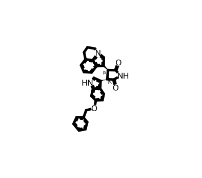 O=C1NC(=O)[C@H](c2cn3c4c(cccc24)CCC3)[C@H]1c1c[nH]c2cc(OCc3ccccc3)ccc12